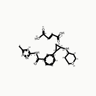 Cc1nnc(NC(=O)c2cccc(C3CC3NC3CCOCC3)c2)s1.O=C(O)C=CC(=O)O